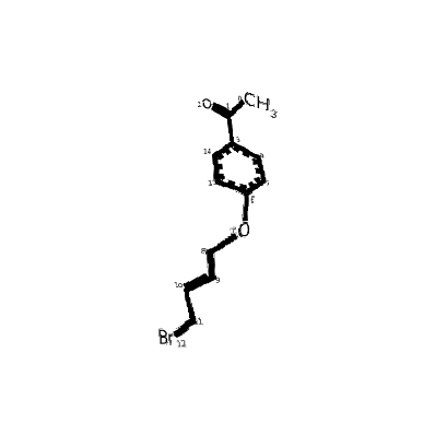 CC(=O)c1ccc(OC/C=C/CBr)cc1